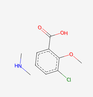 CNC.COc1c(Cl)cccc1C(=O)O